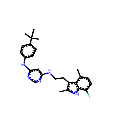 Cc1[nH]c2c(F)ccc(C)c2c1CCNc1cc(Nc2ccc(C(C)(C)C)cc2)ncn1